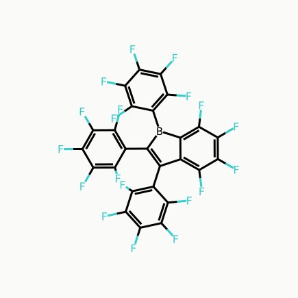 Fc1c(F)c(F)c(B2C(c3c(F)c(F)c(F)c(F)c3F)=C(c3c(F)c(F)c(F)c(F)c3F)c3c(F)c(F)c(F)c(F)c32)c(F)c1F